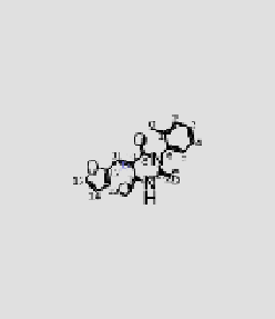 Cc1ccccc1N1C(=O)/C(=C/c2ccco2)C(=O)NC1=S